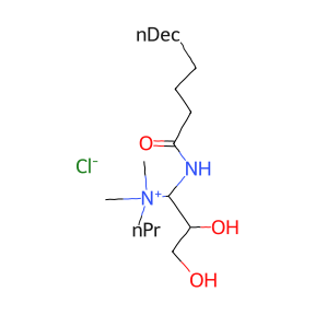 CCCCCCCCCCCCCC(=O)NC(C(O)CO)[N+](C)(C)CCC.[Cl-]